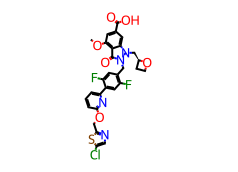 COc1cc(C(=O)O)cc2c1c(=O)n(Cc1cc(F)c(-c3cccc(OCc4ncc(Cl)s4)n3)cc1F)n2C[C@@H]1CCO1